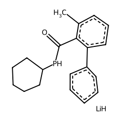 Cc1cccc(-c2ccccc2)c1C(=O)PC1CCCCC1.[LiH]